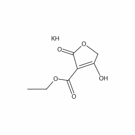 CCOC(=O)C1=C(O)COC1=O.[KH]